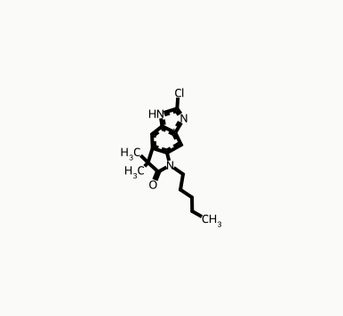 CCCCCN1C(=O)C(C)(C)c2cc3[nH]c(Cl)nc3cc21